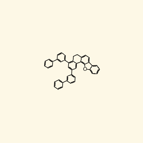 c1ccc(-c2cccc(-c3cc(-c4cccc(-c5ccccc5)c4)c4c(c3)-c3c(ccc5c3oc3ccccc35)CC4)c2)cc1